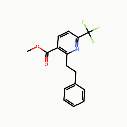 COC(=O)c1ccc(C(F)(F)F)nc1CCc1ccccc1